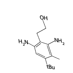 Cc1c(C(C)(C)C)cc(N)c(CCO)c1N